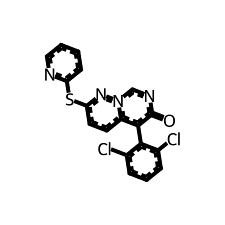 O=c1ncn2nc(Sc3ccccn3)ccc2c1-c1c(Cl)cccc1Cl